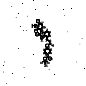 C[C@@H](CCc1cccc2c1n(C)c(=O)n2[C@H]1CCC(=O)NC1=O)OC1CCN(C(=O)OC(C)(C)C)CC1